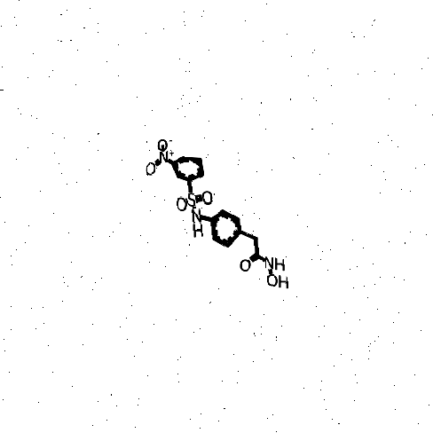 O=C(Cc1ccc(NS(=O)(=O)c2cccc([N+](=O)[O-])c2)cc1)NO